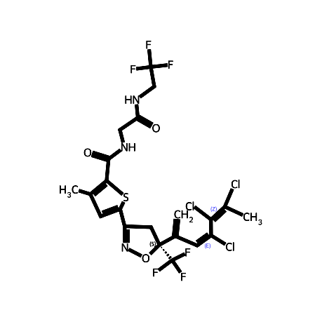 C=C(/C=C(Cl)\C(Cl)=C(/C)Cl)[C@]1(C(F)(F)F)CC(c2cc(C)c(C(=O)NCC(=O)NCC(F)(F)F)s2)=NO1